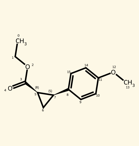 CCOC(=O)[C@@H]1C[C@@H]1c1ccc(OC)cc1